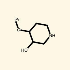 CC(C)OC1CCNCC1O